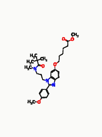 COC(=O)CCCCCOc1ccc2nc(-c3ccc(OC)cc3)n(CCCN(C)C(=O)C(C)(C)C)c2c1